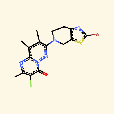 Cc1nc2c(C)c(C)c(N3CCc4nc(Br)sc4C3)nn2c(=O)c1F